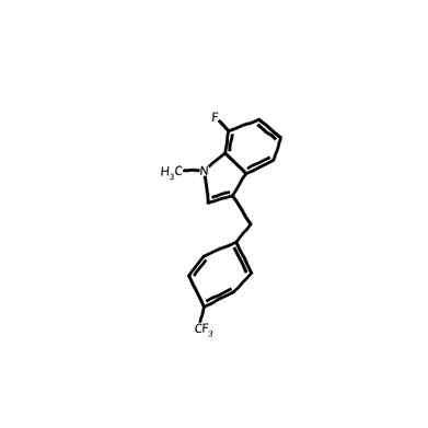 Cn1cc(Cc2ccc(C(F)(F)F)cc2)c2cccc(F)c21